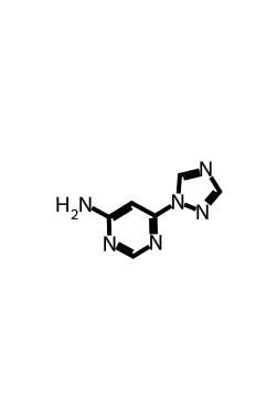 Nc1cc(-n2cncn2)ncn1